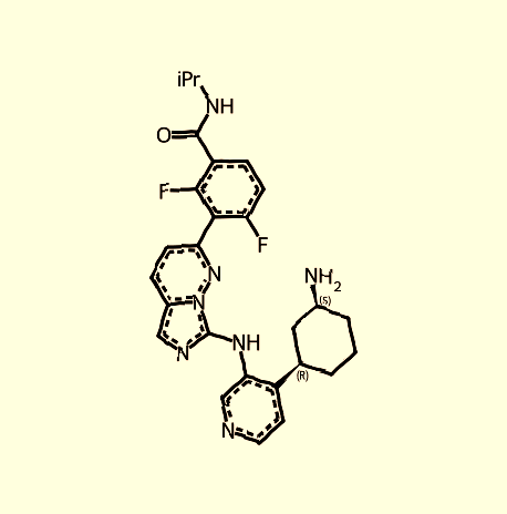 CC(C)NC(=O)c1ccc(F)c(-c2ccc3cnc(Nc4cnccc4[C@@H]4CCC[C@H](N)C4)n3n2)c1F